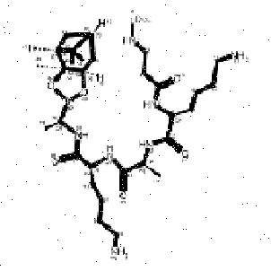 CCCCCCCCCCNCCC(=O)N[C@@H](CCCCN)C(=O)N[C@@H](C)C(=O)N[C@@H](CCCCN)C(=O)N[C@@H](C)B1O[C@@H]2C[C@@H]3C[C@@H](C3(C)C)[C@]2(C)O1